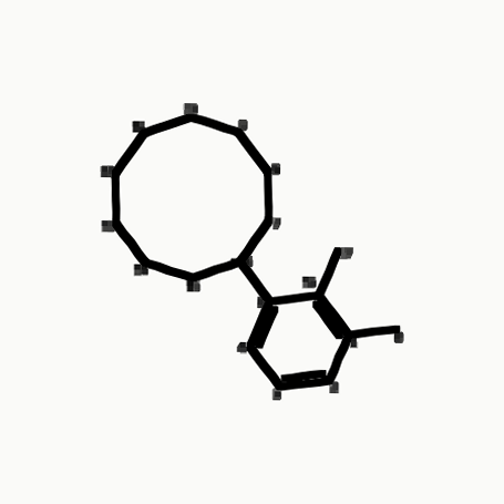 Cc1cccc([C]2CCCCCCCCC2)c1C